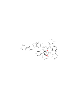 c1ccc(-c2ccc(-n3c4ccccc4c4ccc5c6ccccc6n(-c6nc(-c7ccccc7)nc(-c7ccc8oc9cc(-c%10ccccc%10)ccc9c8c7)n6)c5c43)cc2)cc1